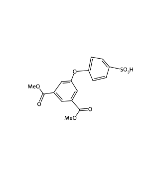 COC(=O)c1cc(Oc2ccc(S(=O)(=O)O)cc2)cc(C(=O)OC)c1